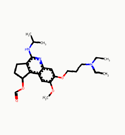 CCN(CC)CCCOc1cc2nc(NC(C)C)c3c(c2cc1OC)C(OC=O)CC3